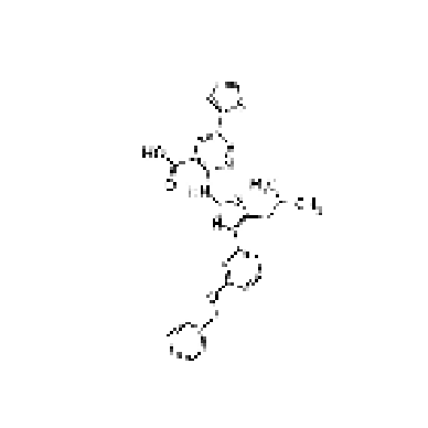 CC(C)Cc1sc(Nc2ncc(-c3cccs3)cc2C(=O)O)nc1-c1cccc(OCc2ccccc2)c1